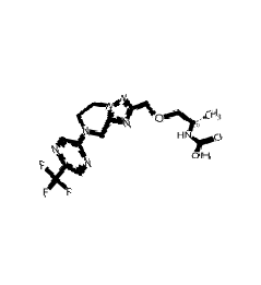 C[C@@H](COCc1nc2n(n1)CCN(c1cnc(C(F)(F)F)cn1)C2)NC(=O)O